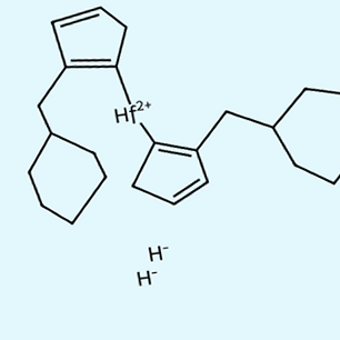 C1=CC(CC2CCCCC2)=[C]([Hf+2][C]2=C(CC3CCCCC3)C=CC2)C1.[H-].[H-]